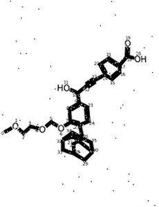 COCCOCOc1cc(C(O)C#Cc2ccc(C(=O)O)cc2)ccc1C12CC3CC(CC(C3)C1)C2